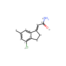 Cc1cc(Cl)c2c(c1)C(=CC(N)=O)CC2